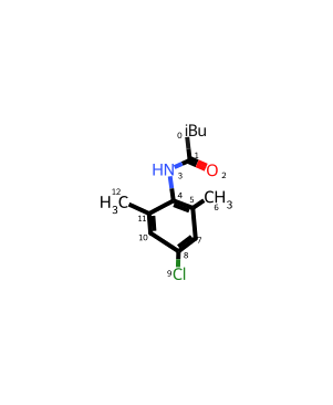 CCC(C)C(=O)Nc1c(C)cc(Cl)cc1C